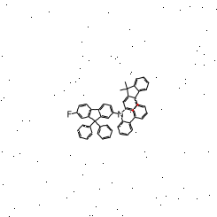 CC1(C)c2ccccc2-c2ccc(N(c3ccc4c(c3)C(c3ccccc3)(c3ccccc3)c3cc(F)ccc3-4)c3ccccc3-c3ccccc3)cc21